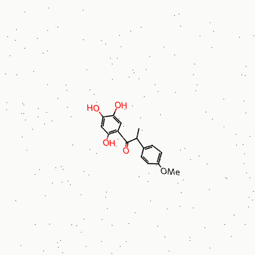 COc1ccc(C(C)C(=O)c2cc(O)c(O)cc2O)cc1